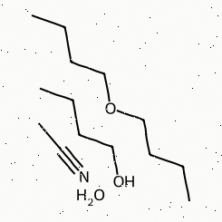 CC#N.CCCCO.CCCCOCCCC.O